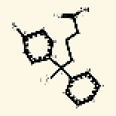 CC(CCCC(=O)O)(c1ccccc1)c1ccc(Cl)cc1